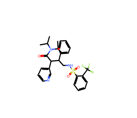 CC(C)N(C(=O)C(c1cccnc1)C(CNS(=O)(=O)c1ccccc1C(F)(F)F)c1ccccc1)C(C)C